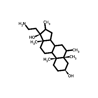 CC1CC2C3CC(C)[C@@](O)(CCN)[C@@]3(C)CCC2[C@@]2(C)CC[C@H](O)C[C@@]12C